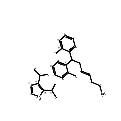 BCCC=CCC(c1ccccc1C)c1ccccc1C.CC(C)c1nc[nH]c1C(C)C